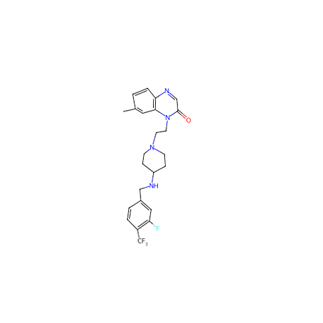 Cc1ccc2ncc(=O)n(CCN3CCC(NCc4ccc(C(F)(F)F)c(F)c4)CC3)c2c1